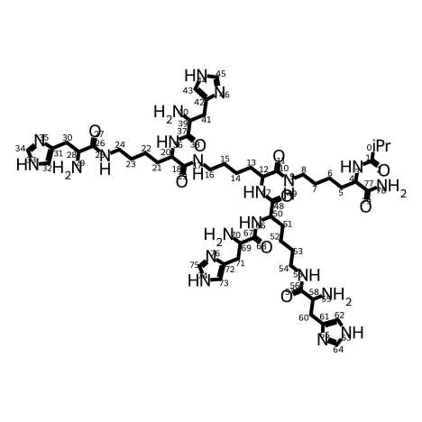 CC(C)C(=O)NC(CCCCNC(=O)C(CCCCNC(=O)C(CCCCNC(=O)C(N)Cc1c[nH]cn1)NC(=O)C(N)Cc1c[nH]cn1)NC(=O)C(CCCCNC(=O)C(N)Cc1c[nH]cn1)NC(=O)C(N)Cc1c[nH]cn1)C(N)=O